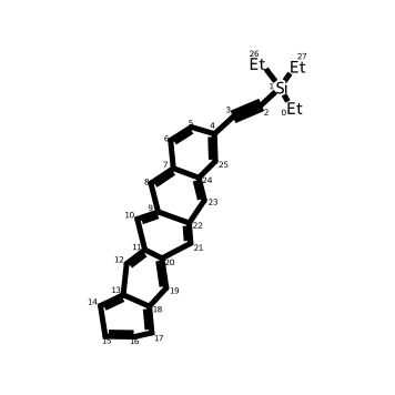 CC[Si](C#Cc1ccc2cc3cc4cc5ccccc5cc4cc3cc2c1)(CC)CC